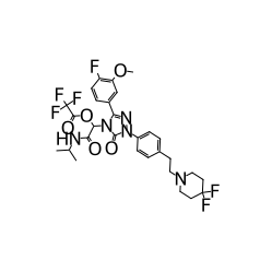 COc1cc(-c2nn(-c3ccc(CCN4CCC(F)(F)CC4)cc3)c(=O)n2C(OC(=O)C(F)(F)F)C(=O)NC(C)C)ccc1F